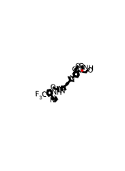 CC(C)(C(=O)Nc1ccc(C(F)(F)F)cc1-n1cccn1)n1cc(C#CC2CN(c3ccc4c(c3)oc(=O)n4C3CCC(=O)NC3=O)C2)cn1